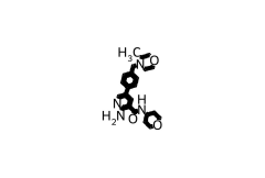 C[C@@H]1COCCN1Cc1ccc(-c2cnc(N)c(C(=O)NC3CCOCC3)c2)cc1